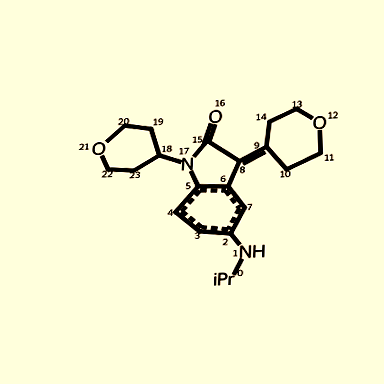 CC(C)Nc1ccc2c(c1)C(=C1CCOCC1)C(=O)N2C1CCOCC1